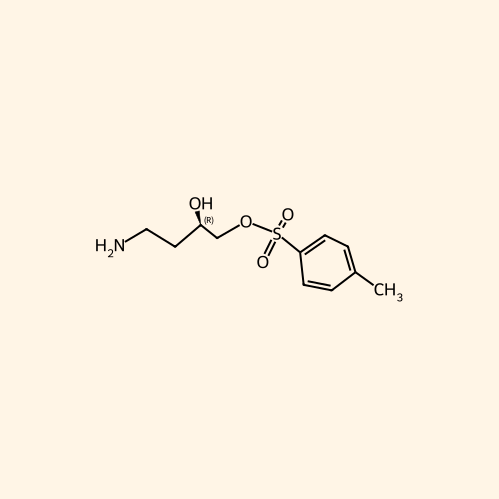 Cc1ccc(S(=O)(=O)OC[C@H](O)CCN)cc1